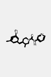 Cc1cc(Cl)cc(/C=C2\CCN(C(=O)Nc3cccnc3)CC2C)c1